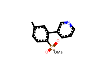 COS(=O)(=O)c1ccc(C)cc1-c1cccnc1